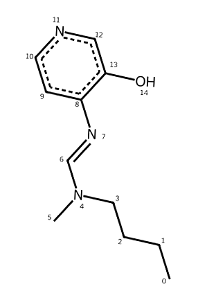 CCCCN(C)C=Nc1ccncc1O